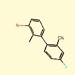 Cc1c(Br)cccc1-c1ccc(F)cc1C#N